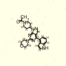 CC(=O)N1CCC(n2ncc3c(-c4cccc5[nH]ccc45)nc(N4CCOCC4)nc32)CC1